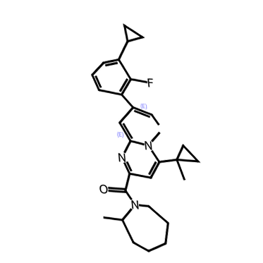 C/C=C(\C=C1\N=C(C(=O)N2CCCCCC2C)C=C(C2(C)CC2)N1C)c1cccc(C2CC2)c1F